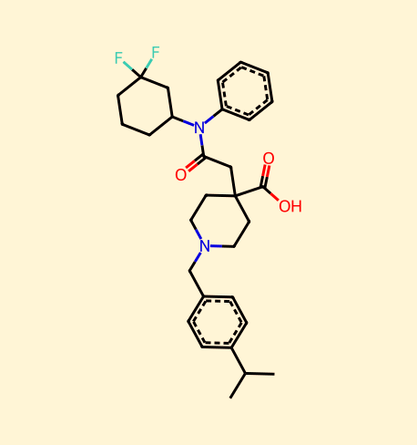 CC(C)c1ccc(CN2CCC(CC(=O)N(c3ccccc3)C3CCCC(F)(F)C3)(C(=O)O)CC2)cc1